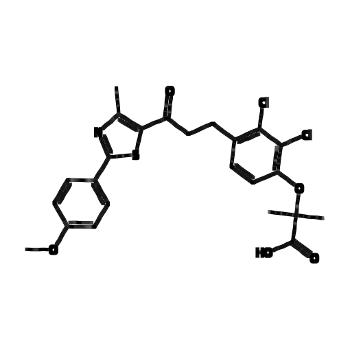 COc1ccc(-c2nc(C)c(C(=O)CCc3ccc(OC(C)(C)C(=O)O)c(Cl)c3Cl)s2)cc1